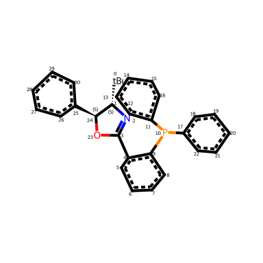 CC(C)(C)[C@@H]1N=C(c2ccccc2P(c2ccccc2)c2ccccc2)O[C@H]1c1ccccc1